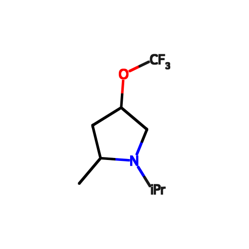 CC(C)N1CC(OC(F)(F)F)CC1C